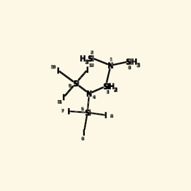 [SiH3]N([SiH3])[SiH2]N([Si](I)(I)I)[Si](I)(I)I